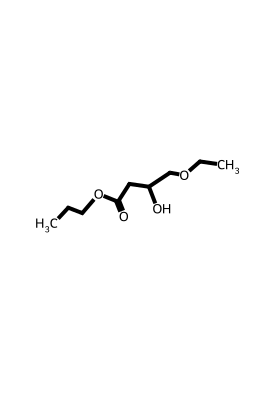 CCCOC(=O)CC(O)COCC